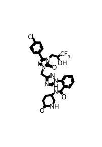 O=C1CCC(NC(=O)c2ccccc2-n2cnc(Cn3nc(-c4ccc(Cl)cc4)n(CC(O)C(F)(F)F)c3=O)n2)CN1